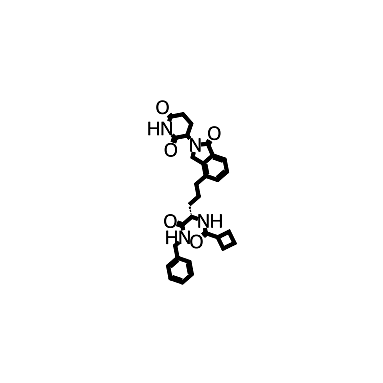 O=C1CCC(N2Cc3c(CCC[C@H](NC(=O)C4CCC4)C(=O)NCc4ccccc4)cccc3C2=O)C(=O)N1